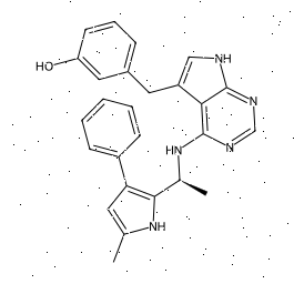 Cc1cc(-c2ccccc2)c([C@H](C)Nc2ncnc3[nH]cc(Cc4cccc(O)c4)c23)[nH]1